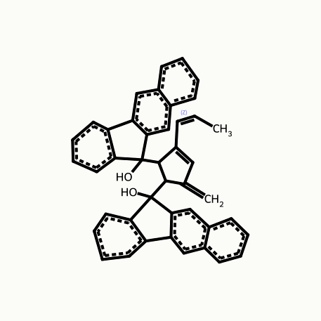 C=C1C=C(/C=C\C)C(C2(O)c3ccccc3-c3cc4ccccc4cc32)C1C1(O)c2ccccc2-c2cc3ccccc3cc21